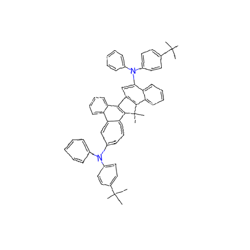 CC(C)(C)c1ccc(N(c2ccccc2)c2ccc3c4c(c5ccccc5c3c2)-c2cc(N(c3ccccc3)c3ccc(C(C)(C)C)cc3)c3ccccc3c2C4(C)C)cc1